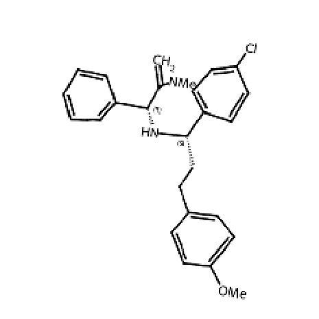 C=C(NC)[C@H](N[C@@H](CCc1ccc(OC)cc1)c1ccc(Cl)cc1)c1ccccc1